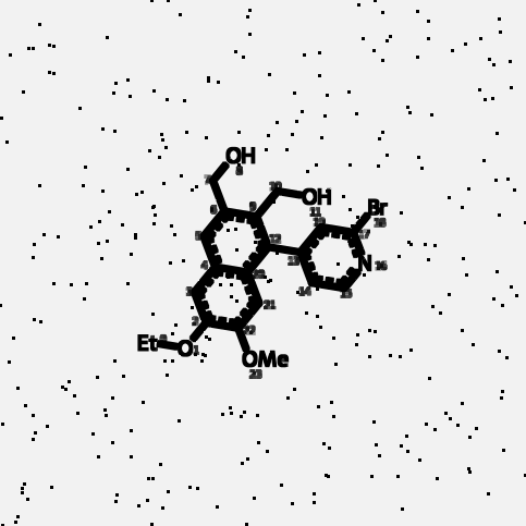 CCOc1cc2cc(CO)c(CO)c(-c3ccnc(Br)c3)c2cc1OC